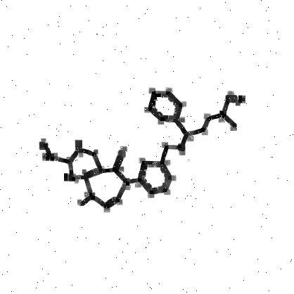 CCNC1NCC2=C(N1)N(C)C=CN(c1cccc(COC(CCN(C)C(=O)O)c3ccccc3)c1)C2=O